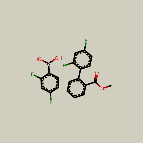 COC(=O)c1ccccc1-c1ccc(F)cc1F.OB(O)c1ccc(F)cc1F